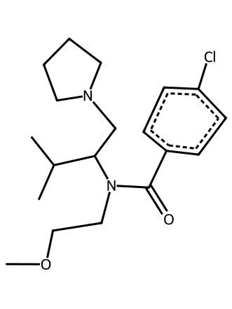 COCCN(C(=O)c1ccc(Cl)cc1)C(CN1CCCC1)C(C)C